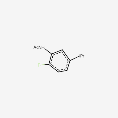 CC(=O)Nc1cc(C(C)C)ccc1F